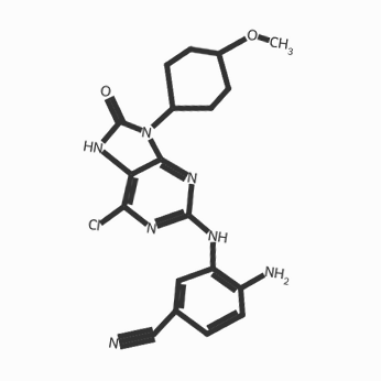 COC1CCC(n2c(=O)[nH]c3c(Cl)nc(Nc4cc(C#N)ccc4N)nc32)CC1